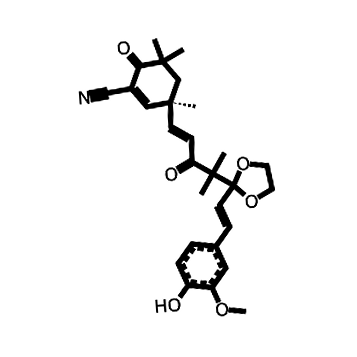 COc1cc(/C=C/C2(C(C)(C)C(=O)C=C[C@@]3(C)C=C(C#N)C(=O)C(C)(C)C3)OCCO2)ccc1O